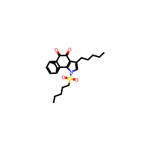 CCCCCc1cn(S(=O)(=O)CCCCC)c2c1C(=O)C(=O)c1c3ccc(c1-2)CC3